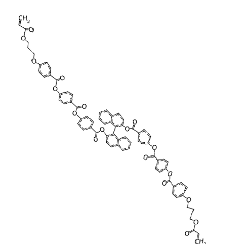 C=CC(=O)OCCCOc1ccc(C(=O)Oc2ccc(C(=O)Oc3ccc(C(=O)Oc4ccc5ccccc5c4-c4c(OC(=O)c5ccc(OC(=O)c6ccc(OC(=O)c7ccc(OCCCOC(=O)C=C)cc7)cc6)cc5)ccc5ccccc45)cc3)cc2)cc1